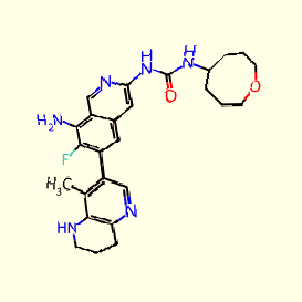 Cc1c(-c2cc3cc(NC(=O)NC4CCCOCCC4)ncc3c(N)c2F)cnc2c1NCCC2